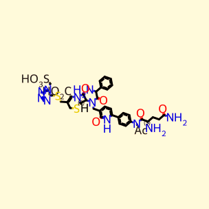 CC(=O)N(C(=O)[C@@H](N)CCC(N)=O)c1ccc(-c2ccc(CN(C(=O)C(N)c3ccccc3)C3C(=O)N4C(C(=O)O)=C(CSc5nnnn5CS(=O)(=O)O)CS[C@@H]34)c(=O)[nH]2)cc1